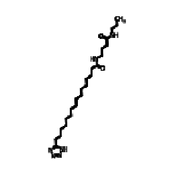 CCCNC(=O)CCCNC(=O)CCCCCCCCCCCCCCCc1nnn[nH]1